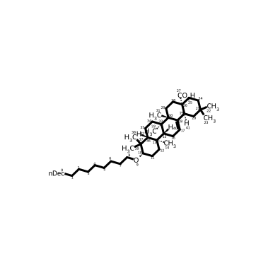 CCCCCCCCCCCCCCCCCCO[C@H]1CC[C@]2(C)[C@H]3CC=C4[C@@H]5CC(C)(C)CC[C@]5(C(=O)O)CC[C@@]4(C)[C@]3(C)CC[C@H]2C1(C)C